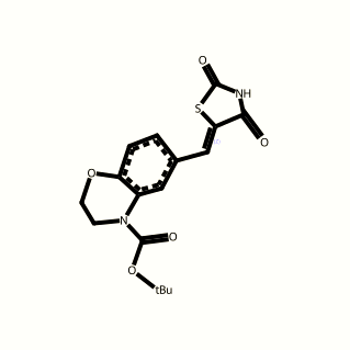 CC(C)(C)OC(=O)N1CCOc2ccc(/C=C3\SC(=O)NC3=O)cc21